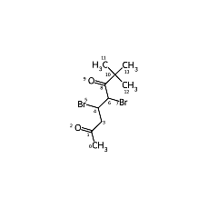 CC(=O)CC(Br)C(Br)C(=O)C(C)(C)C